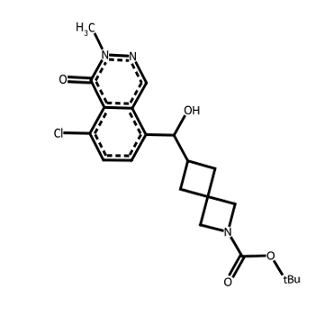 Cn1ncc2c(C(O)C3CC4(C3)CN(C(=O)OC(C)(C)C)C4)ccc(Cl)c2c1=O